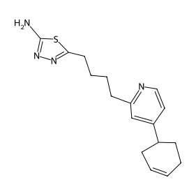 Nc1nnc(CCCCc2cc(C3CC=CCC3)ccn2)s1